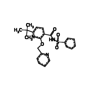 CC(C)(C)c1ccc(C(=O)NS(=O)(=O)c2ccccc2)c(OCc2ccccn2)n1